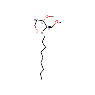 CCCCCCCCC[C@@H]1OC[C@H](C)[C@H](OC)/C1=C\OC